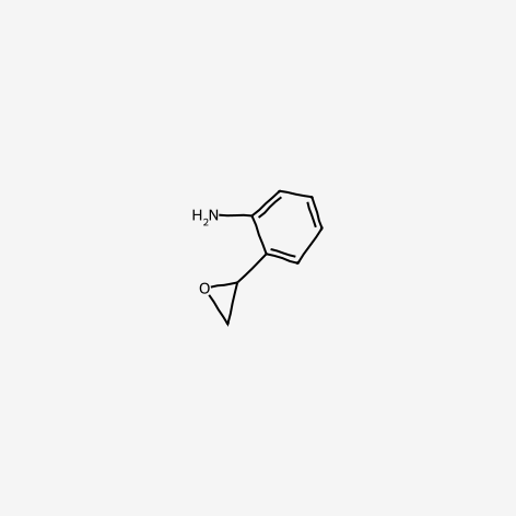 Nc1ccccc1C1CO1